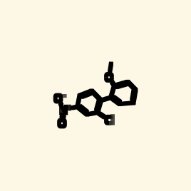 COc1ccccc1-c1ccc([N+](=O)[O-])cc1Cl